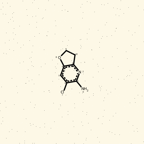 Nc1nc2c(cc1Cl)OCC2